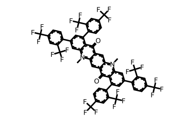 Cn1c2cc3c(=O)c4c(-c5ccc(C(F)(F)F)cc5C(F)(F)F)cc(-c5ccc(C(F)(F)F)cc5C(F)(F)F)cc4n(C)c3cc2c(=O)c2c(-c3ccc(C(F)(F)F)cc3C(F)(F)F)cc(-c3ccc(C(F)(F)F)cc3C(F)(F)F)cc21